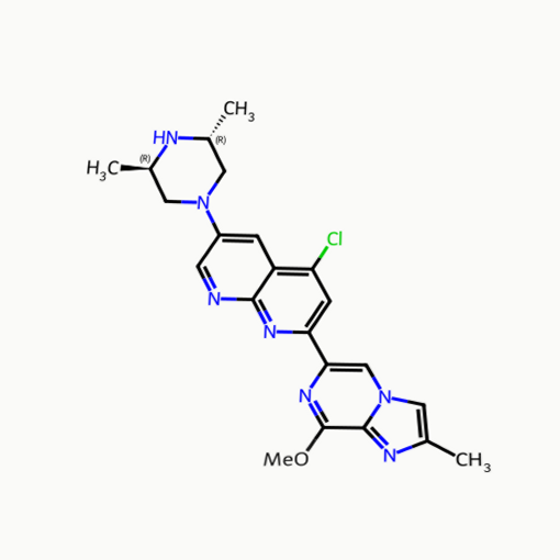 COc1nc(-c2cc(Cl)c3cc(N4C[C@@H](C)N[C@H](C)C4)cnc3n2)cn2cc(C)nc12